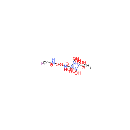 CC(=O)CCC(C(=O)O)N1CCN(CC(O)O)CCN(C(CCC(=O)NCCOCCOCCNC(=O)CCCc2ccc(I)cc2)C(=O)O)CCN(CC(O)O)CC1